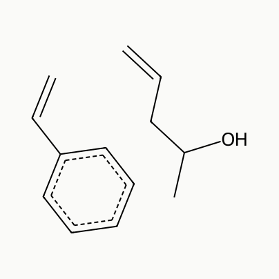 C=CCC(C)O.C=Cc1ccccc1